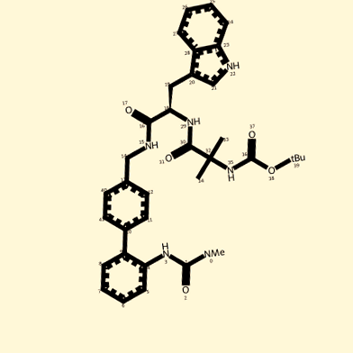 CNC(=O)Nc1ccccc1-c1ccc(CNC(=O)[C@@H](Cc2c[nH]c3ccccc23)NC(=O)C(C)(C)NC(=O)OC(C)(C)C)cc1